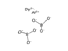 [Al+3].[Dy+3].[O-]B([O-])[O-].[O-]B([O-])[O-]